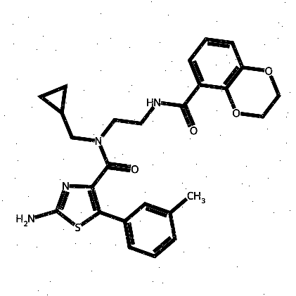 Cc1cccc(-c2sc(N)nc2C(=O)N(CCNC(=O)c2cccc3c2OCCO3)CC2CC2)c1